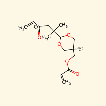 C=CC(=O)OCC1(CC)COC(C(C)(C)[CH2][Co](=[O])[CH]=C)OC1